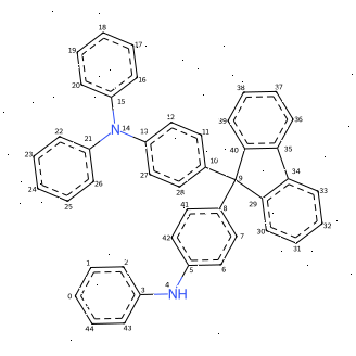 c1ccc(Nc2ccc(C3(c4ccc(N(c5ccccc5)c5ccccc5)cc4)c4ccccc4-c4ccccc43)cc2)cc1